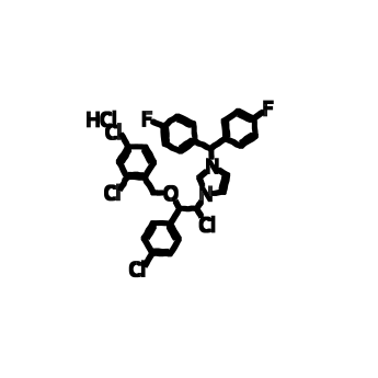 Cl.Fc1ccc(C(c2ccc(F)cc2)N2C=CN(C(Cl)C(OCc3ccc(Cl)cc3Cl)c3ccc(Cl)cc3)C2)cc1